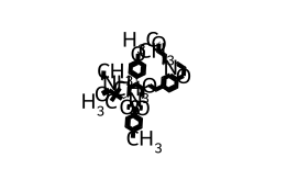 CCNC(=O)C(C)(C)C[C@@H]1C[C@H](c2ccc(OC)cc2)[C@@H](OCc2ccc3c(c2)N(CCCOC)CCO3)CN1S(=O)(=O)c1ccc(C)cc1